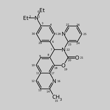 CCN(CC)c1ccc(C2c3ccc4ccc(C)nc4c3OC(=O)N2c2ccccn2)cc1